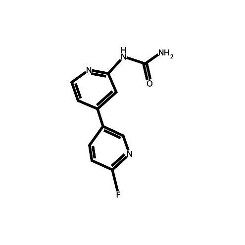 NC(=O)Nc1cc(-c2ccc(F)nc2)ccn1